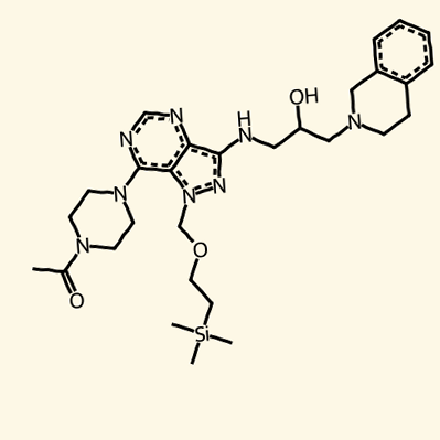 CC(=O)N1CCN(c2ncnc3c(NCC(O)CN4CCc5ccccc5C4)nn(COCC[Si](C)(C)C)c23)CC1